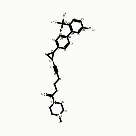 CN1CCN(C(=O)CCCC#C[C@H]2CC2c2ccc(-c3cc(F)ccc3C(F)(F)F)cc2)CC1